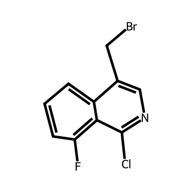 Fc1cccc2c(CBr)cnc(Cl)c12